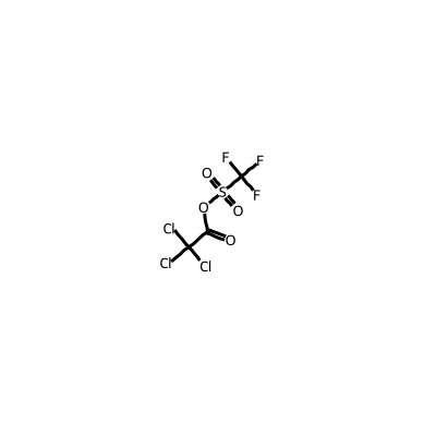 O=C(OS(=O)(=O)C(F)(F)F)C(Cl)(Cl)Cl